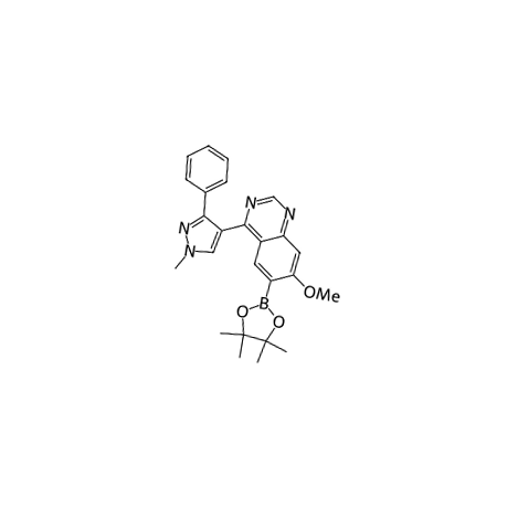 COc1cc2ncnc(-c3cn(C)nc3-c3ccccc3)c2cc1B1OC(C)(C)C(C)(C)O1